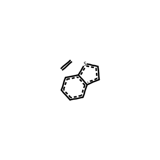 C=C.c1ccc2sccc2c1